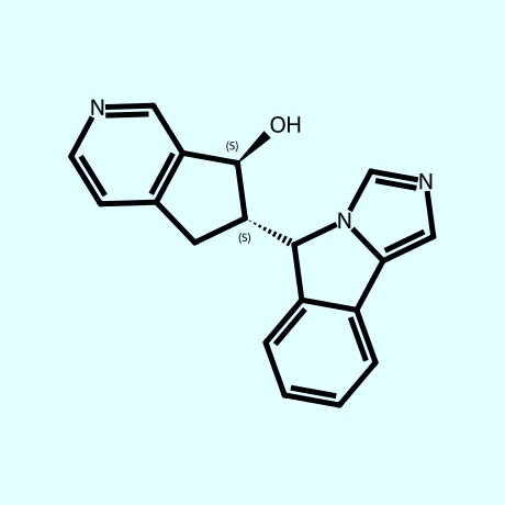 O[C@@H]1c2cnccc2C[C@H]1C1c2ccccc2-c2cncn21